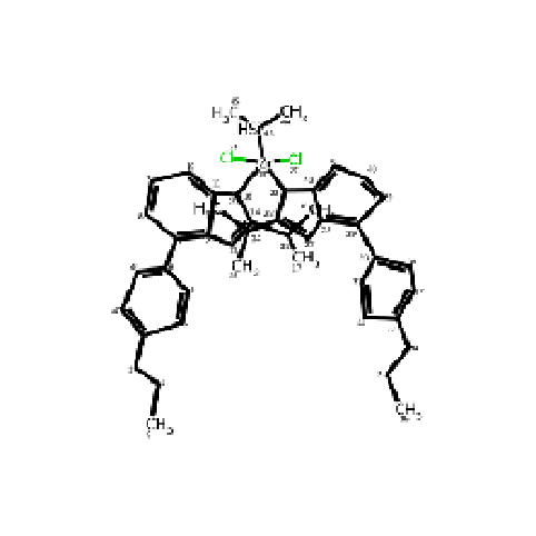 CCCc1ccc(-c2cccc3c2C=C(C(C)C)[CH]3[Zr]([Cl])([Cl])([CH]2C(C(C)C)=Cc3c(-c4ccc(CCC)cc4)cccc32)[SiH](C)C)cc1